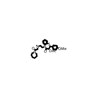 COc1ccc(C2Sc3ccccc3N(CCN(C)CC(=O)N3CCCCCC3)C(=O)C2OC(C)=O)cc1